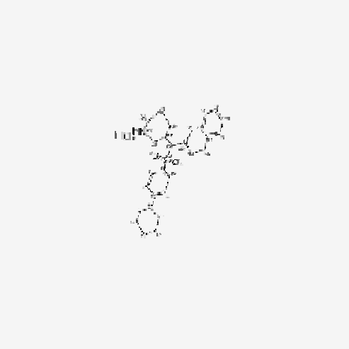 Cl.O=S(=O)(c1ccc(C2CCCCC2)cc1)C(C1CCCNC1)N1CCc2ccccc2C1